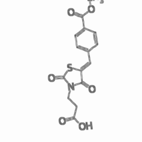 COC(=O)c1ccc(/C=C2\SC(=O)N(CCC(=O)O)C2=O)cc1